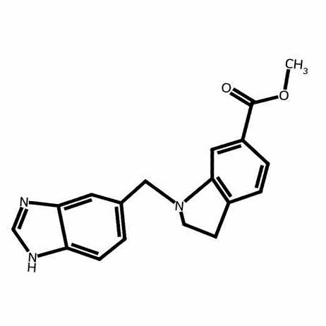 COC(=O)c1ccc2c(c1)N(Cc1ccc3[nH]cnc3c1)CC2